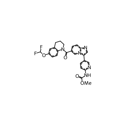 COC(=O)Nc1ccc(-c2cnc3ccc(C(=O)N4CCCc5cc(OC(F)F)ccc54)cn23)cn1